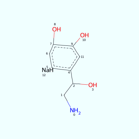 NCC(O)c1ccc(O)c(O)c1.[NaH]